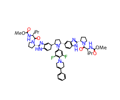 COC(=O)N[C@H](C(=O)N1CCC[C@H]1c1nc2c([nH]1)=CCC([C@H]1CC[C@H](c3ccc4[nH]c([C@@H]5CCCN5C(=O)[C@@H](NC(=O)OC)C(C)C)nc4c3)N1c1cc(F)c(N3CC=C(c4ccccc4)CC3)c(F)c1)C=2)C(C)C